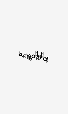 CN(C1CCCN(Cc2ccn(C)c2)C1)S(=O)(=O)c1ccc(Nc2nccc(Nc3ccc(F)c(F)c3)n2)cc1